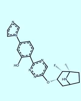 C[C@@]12CCC(C[C@H](Oc3cnc(-c4ccc(-n5ccnc5)cc4O)nn3)[C@@H]1F)N2